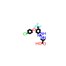 O=C(O)c1cnn(-c2nc3cc(Oc4ccc(Cl)cc4)c(C(F)(F)F)cc3[nH]2)c1